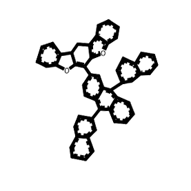 c1ccc2c(c1)OC1=C(c3ccc4c(-c5ccc6ccccc6c5)c5ccccc5c(-c5ccc6ccccc6c5)c4c3)c3oc4ccccc4c3CC12